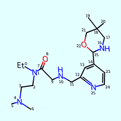 CCN(CCN(C)C)C(=O)CNCc1cc(C2NCC(C)(C)CO2)ccn1